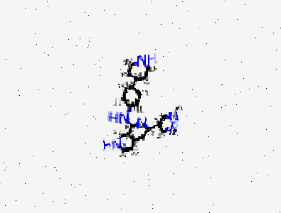 Cn1cc(-c2cc3c(c(Nc4ccc(C5CCNCC5)cc4)n2)CNC=C3)cn1